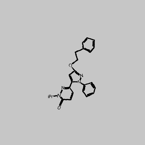 CC(C)n1nc(-c2cc(OCCc3ccccc3)nn2-c2ccccc2)ccc1=O